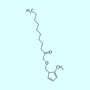 CCCCCCCCCC(=O)COCC1C=CC=C1C